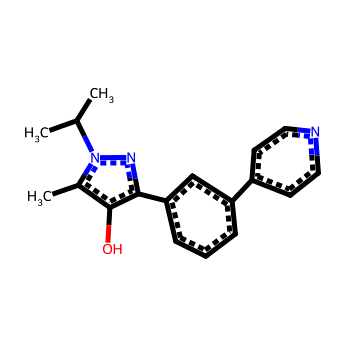 Cc1c(O)c(-c2cccc(-c3ccncc3)c2)nn1C(C)C